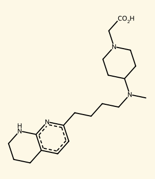 CN(CCCCc1ccc2c(n1)NCCC2)C1CCN(CC(=O)O)CC1